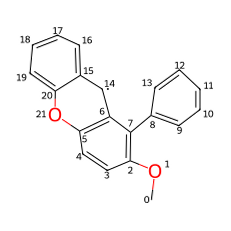 COc1ccc2c(c1-c1ccccc1)[CH]c1ccccc1O2